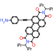 CC(C)C(C(C)C)N1C(=O)c2ccc3c4ccc5c6c(cc(C#Cc7ccc(N)cc7)c(c7ccc(c2c37)C1=O)c64)C(=O)N(C(C(C)C)C(C)C)C5=O